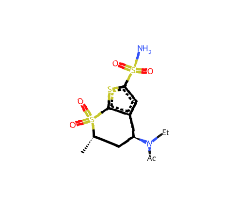 CCN(C(C)=O)[C@H]1C[C@H](C)S(=O)(=O)c2sc(S(N)(=O)=O)cc21